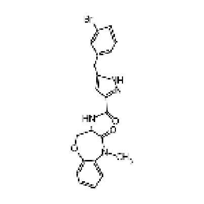 CN1C(=O)[C@@H](NC(=O)c2cc(Cc3cccc(Br)c3)[nH]n2)COc2ccccc21